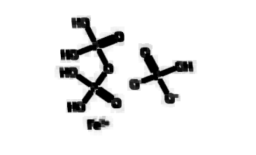 O=P(O)(O)OP(=O)(O)O.O=P([O-])([O-])O.[Fe+2]